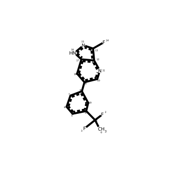 CC(F)(F)c1cccc(-c2cnc3c(F)n[nH]c3c2)c1